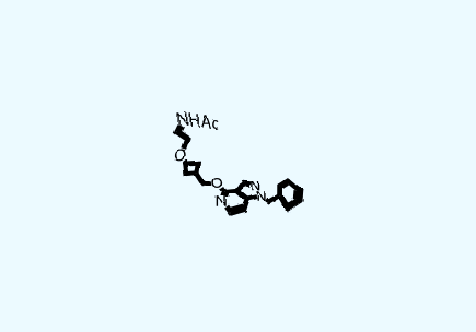 CC(=O)NCCOC1CC(COc2nccc3c2cnn3Cc2ccccc2)C1